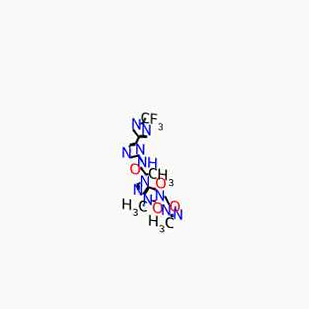 Cc1noc(Cn2c(=O)c3c(ncn3C(C)C(=O)Nc3cncc(-c4cnc(C(F)(F)F)nc4)n3)n(C)c2=O)n1